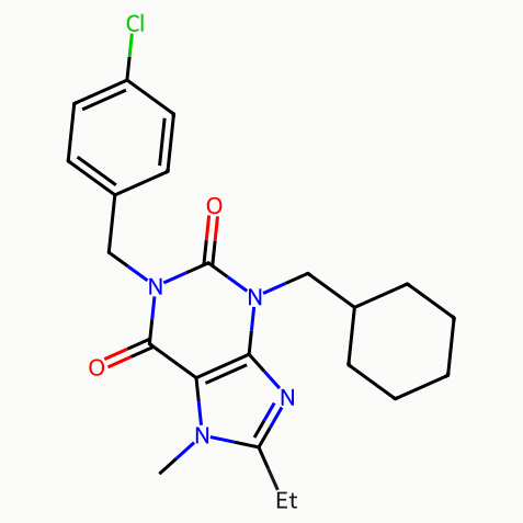 CCc1nc2c(c(=O)n(Cc3ccc(Cl)cc3)c(=O)n2CC2CCCCC2)n1C